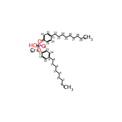 CCCCCCCCCc1ccc(OP(=O)(O)Oc2ccc(CCCCCCCCC)cc2)cc1.[Cr]